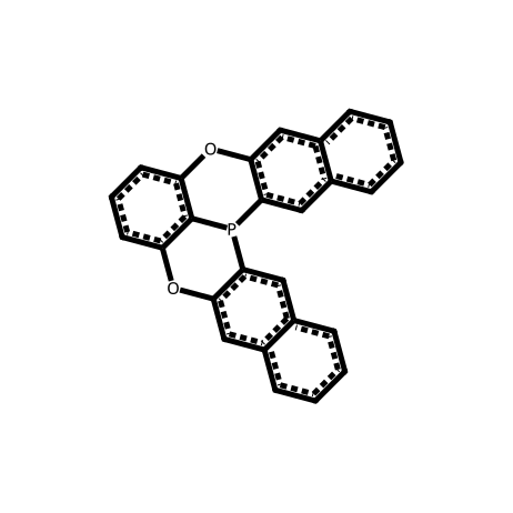 c1cc2c3c(c1)Oc1cc4ccccc4cc1P3c1cc3ccccc3cc1O2